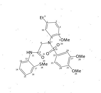 CCc1ccc(OC)c(N(CC(=O)Nc2ccccc2SC)S(=O)(=O)c2ccc(OC)c(OC)c2)c1